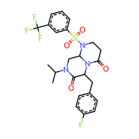 CC(C)N1CC2N(C(=O)CCN2S(=O)(=O)c2cccc(C(F)(F)F)c2)C(Cc2ccc(F)cc2)C1=O